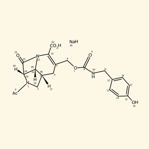 CC(=O)N1C[C@H]2CC(COC(=O)NCc3ccc(O)cc3)=C(C(=O)O)N3C(=O)[C@@H]1[C@@H]23.[NaH]